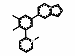 Cc1cc(-c2ccn3cccc3c2)cc(-c2cccc[n+]2C)c1C